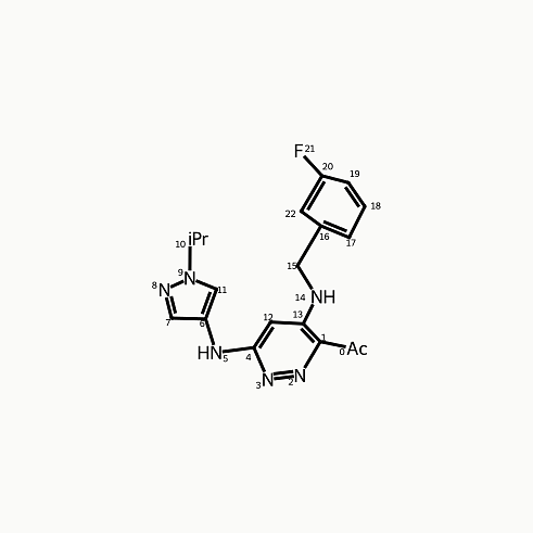 CC(=O)c1nnc(Nc2cnn(C(C)C)c2)cc1NCc1cccc(F)c1